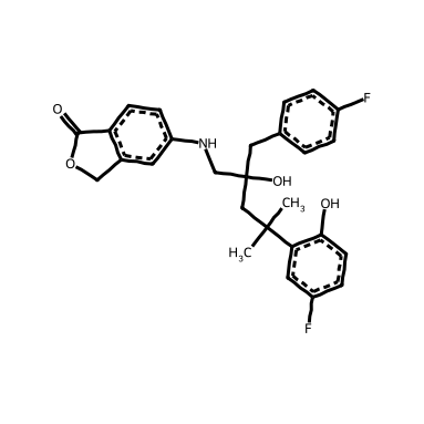 CC(C)(CC(O)(CNc1ccc2c(c1)COC2=O)Cc1ccc(F)cc1)c1cc(F)ccc1O